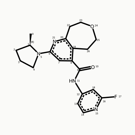 C[C@@H]1CCCN1c1cc(C(=O)Nc2ccnc(F)c2)c2c(n1)CCOCC2